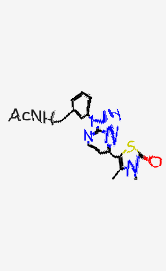 CC(=O)NCc1cccc(Nc2nccc(-c3sc(=O)n(C)c3C)n2)c1